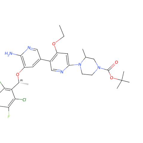 CCOc1cc(N2CCN(C(=O)OC(C)(C)C)CC2C)ncc1-c1cnc(N)c(O[C@H](C)c2c(Cl)ccc(F)c2Cl)c1